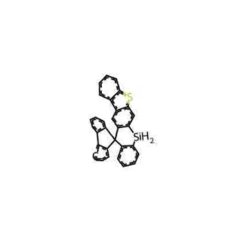 c1ccc2c(c1)[SiH2]c1cc3sc4ccccc4c3cc1C21c2ccccc2-c2ccccc21